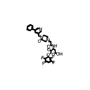 O=C(O)CC(NC(=O)CN1CCN(Cc2cncc(-c3ccccc3)c2)C(=O)C1)C(=O)COc1c(F)c(F)cc(F)c1F